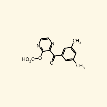 Cc1cc(C)cc(C(=O)c2nccnc2OC(=O)O)c1